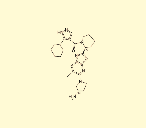 Cc1cn2nc([C@@H]3CCCCN3C(=O)c3cn[nH]c3C3CCCCC3)cc2nc1N1CC[C@H](N)C1